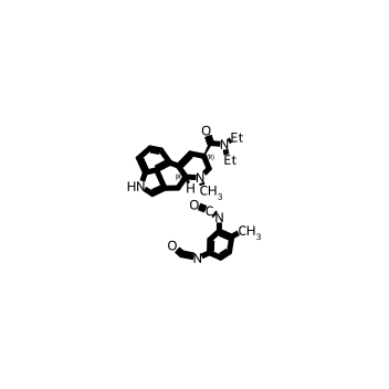 CCN(CC)C(=O)[C@@H]1C=C2c3cccc4[nH]cc(c34)C[C@H]2N(C)C1.Cc1ccc(N=C=O)cc1N=C=O